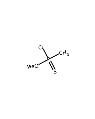 COP(C)(=S)Cl